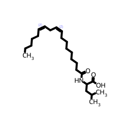 CCCCC/C=C\C/C=C\CCCCCCCC(=O)NC(CC(C)C)C(=O)O